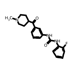 CN1CCC(C(=O)c2cccc(NC(=O)Nc3ccccc3F)c2)CC1